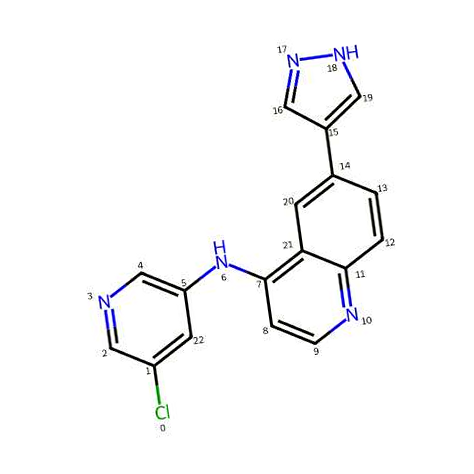 Clc1cncc(Nc2ccnc3ccc(-c4cn[nH]c4)cc23)c1